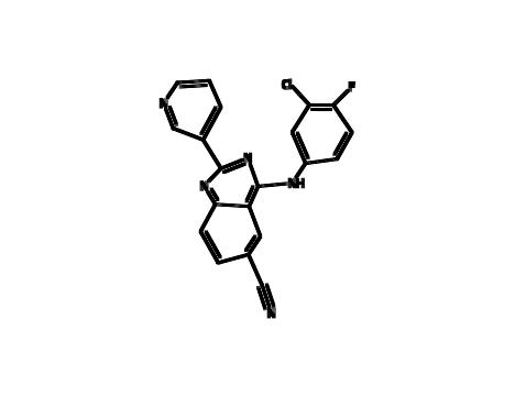 N#Cc1ccc2nc(-c3cccnc3)nc(Nc3ccc(F)c(Cl)c3)c2c1